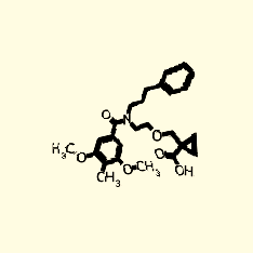 COc1cc(C(=O)N(CCCc2ccccc2)CCOCC2(C(=O)O)CC2)cc(OC)c1C